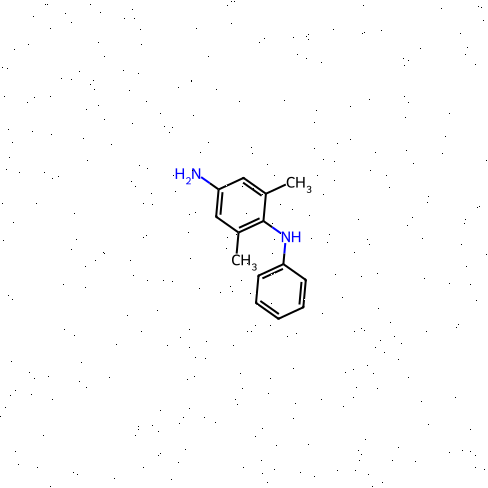 Cc1cc(N)cc(C)c1Nc1ccccc1